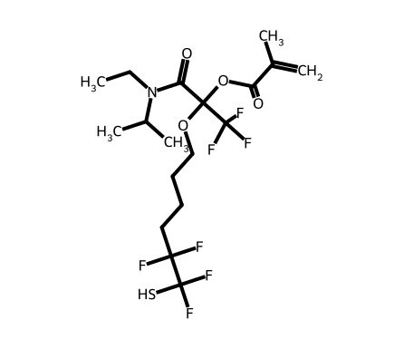 C=C(C)C(=O)OC(OCCCCC(F)(F)C(F)(F)S)(C(=O)N(CC)C(C)C)C(F)(F)F